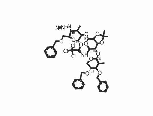 CC1C(OCc2ccccc2)[C@H](OCc2ccccc2)CO[C@H]1O[C@H]1C(C)O[C@@H](OC2C(C)[C@@H](N=[N+]=[N-])C(COCc3ccccc3)O[C@@H]2OC(=N)C(Cl)(Cl)Cl)C2OC(C)(C)OC21